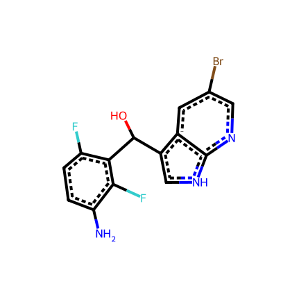 Nc1ccc(F)c(C(O)c2c[nH]c3ncc(Br)cc23)c1F